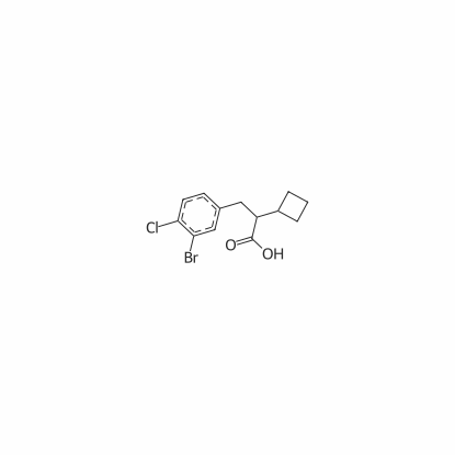 O=C(O)C(Cc1ccc(Cl)c(Br)c1)C1CCC1